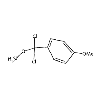 COc1ccc(C(Cl)(Cl)O[SiH3])cc1